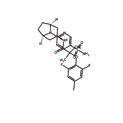 CC(C)(Oc1c(F)cc(F)cc1F)C(=O)N[C@H]1C[C@H]2CC[C@@H](C1)N2c1ccc(S(N)(=O)=O)cn1